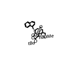 CCCC[C@H](NC(=O)[C@H](Cc1cccc2ccccc12)CS(=O)(=O)CC(COC)OC(C)=O)C(=O)OC(C)(C)C